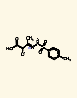 C/C(=N\NS(=O)(=O)c1ccc(C)cc1)C(Cl)C(=O)O